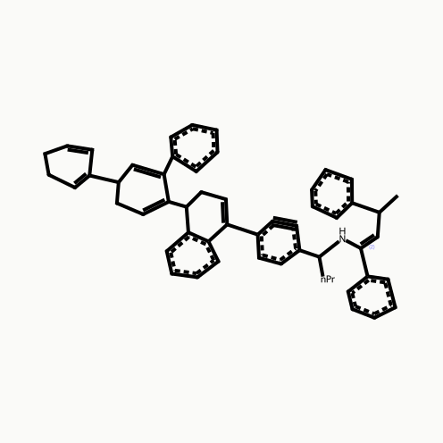 CCCC(N/C(=C\C(C)c1ccccc1)c1ccccc1)c1c#cc(C2=CCC(C3=CCC(C4=CCCC=C4)C=C3c3ccccc3)c3ccccc32)cc1